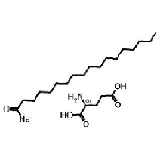 CCCCCCCCCCCCCCCCC[C](=O)[Na].N[C@@H](CCC(=O)O)C(=O)O